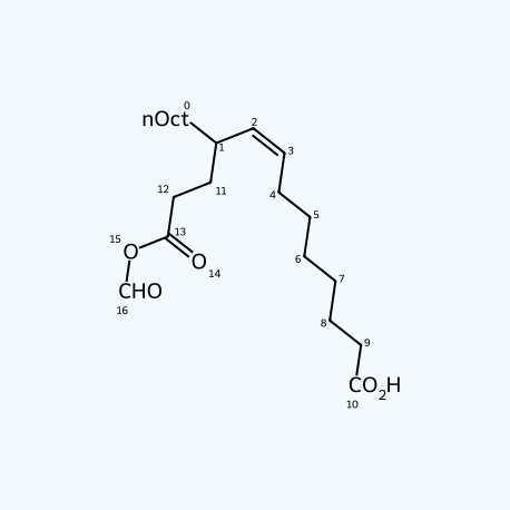 CCCCCCCCC(/C=C\CCCCCCC(=O)O)CCC(=O)OC=O